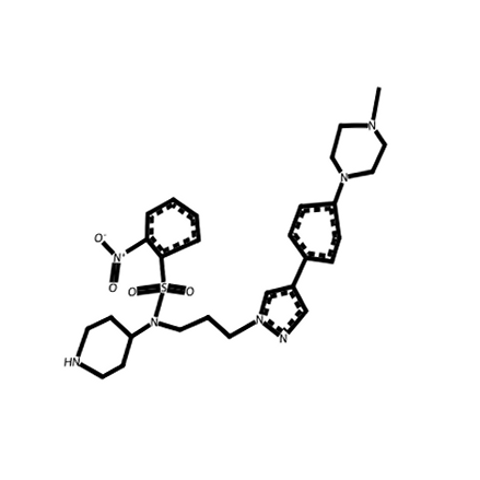 CN1CCN(c2ccc(-c3cnn(CCCN(C4CCNCC4)S(=O)(=O)c4ccccc4[N+](=O)[O-])c3)cc2)CC1